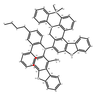 Bc1c(N(c2ccc(CCCC)cc2-c2ccccc2)c2cc3oc4ccccc4c3c3c2CN2c4ccccc4S(C)(C)c4cccc-3c42)ccc2oc3ccccc3c12